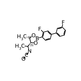 CC(N=C=O)[C@@H]1OB(c2ccc(-c3cccc(F)c3)cc2F)O[C@H]1C